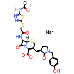 CC(=O)Nc1nnc(SCC(=O)N[C@@H]2C(=O)N3C(C(=O)[O-])=C(/C=C4\CCN(Cc5ccc(O)cc5)C4=O)CS[C@H]23)s1.[Na+]